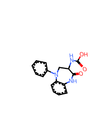 O=C(O)NC1CN(c2ccccc2)c2ccccc2NC1=O